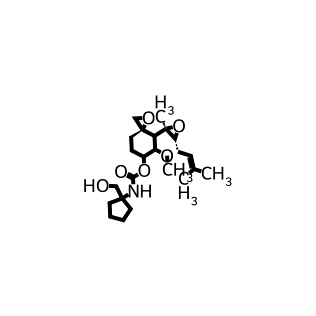 COC1C(OC(=O)NC2(CO)CCCC2)CC[C@]2(CO2)C1[C@@]1(C)O[C@@H]1CC=C(C)C